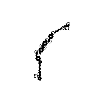 CCC1(COCCCCCCOc2ccc(CC(=O)Oc3ccc(S(=O)(=O)c4ccc(OC(=O)c5ccc(OCCCCCCOCC6(CC)COC6)cc5)cc4)cc3)cc2)CCC1